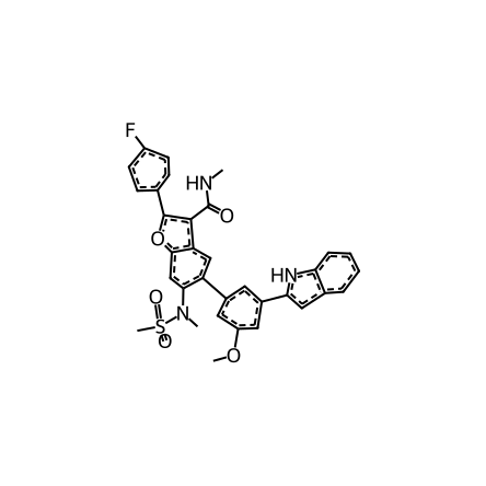 CNC(=O)c1c(-c2ccc(F)cc2)oc2cc(N(C)S(C)(=O)=O)c(-c3cc(OC)cc(-c4cc5ccccc5[nH]4)c3)cc12